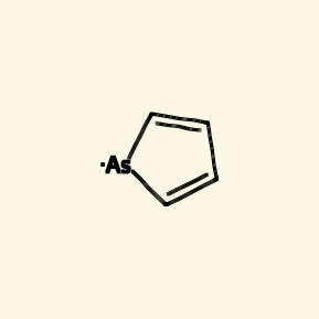 C1=C[As]C=C1